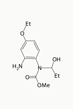 CCOc1ccc(N(C(=O)OC)C(O)CC)c(N)c1